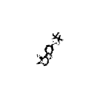 CN1CCn2nc3cc(B4OC(C)(C)C(C)(C)O4)ccc3c2C1=O